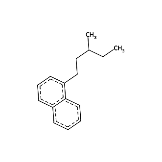 CCC(C)CCc1cccc2ccccc12